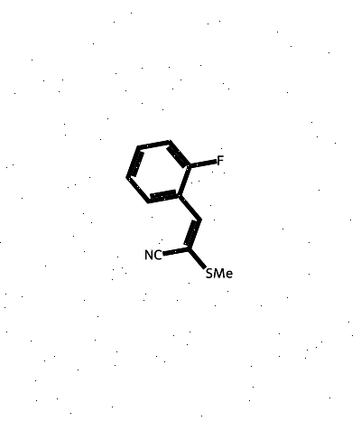 CSC(C#N)=Cc1ccccc1F